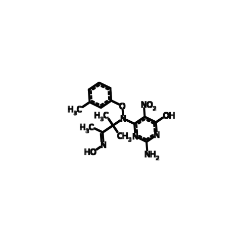 CC(=NO)C(C)(C)N(Oc1cccc(C)c1)c1nc(N)nc(O)c1[N+](=O)[O-]